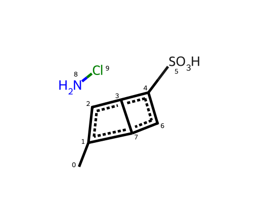 Cc1cc2c(S(=O)(=O)O)cc1-2.NCl